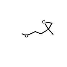 COCCC1(C)CO1